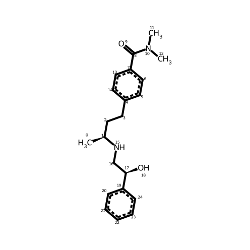 C[C@@H](CCc1ccc(C(=O)N(C)C)cc1)NC[C@@H](O)c1ccccc1